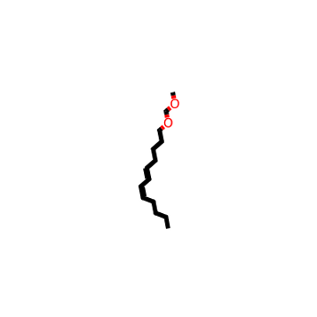 CCCC/C=C\C=C\CCCCOCOC